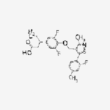 CCC(CC(=O)O)c1cc(F)c(OCc2c(C)nsc2-c2ccc(C)cc2F)c(F)c1